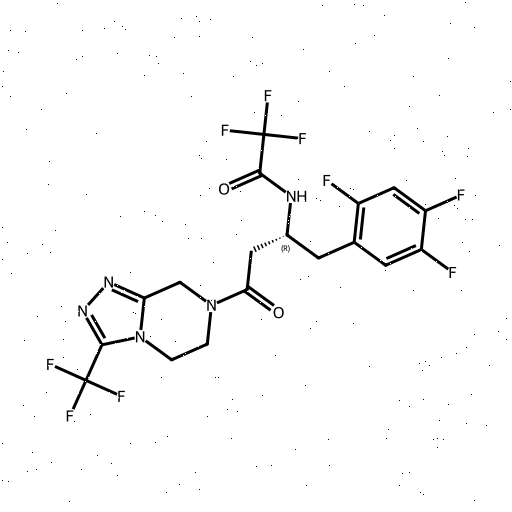 O=C(C[C@@H](Cc1cc(F)c(F)cc1F)NC(=O)C(F)(F)F)N1CCn2c(nnc2C(F)(F)F)C1